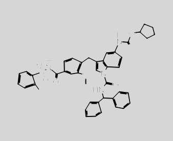 COc1cc(C(=O)NS(=O)(=O)c2ccccc2C)ccc1Cc1cn(C(=O)NC(c2ccccc2)c2ccccc2)c2ccc(NC(=O)OC3CCCC3)cc12